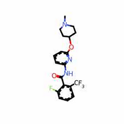 CN1CCC(Oc2cccc(NC(=O)c3c(F)cccc3C(F)(F)F)n2)CC1